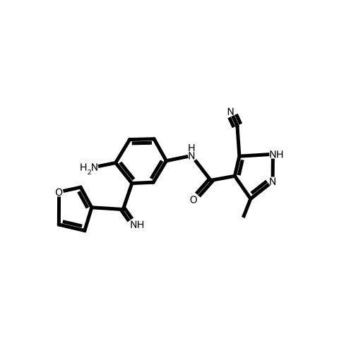 Cc1n[nH]c(C#N)c1C(=O)Nc1ccc(N)c(C(=N)c2ccoc2)c1